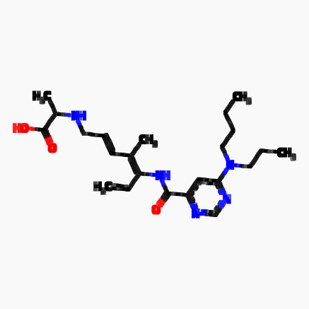 C=C/C(NC(=O)c1cc(N(CCC)CCCC)ncn1)=C(C)\C=C\CNC(C)C(=O)O